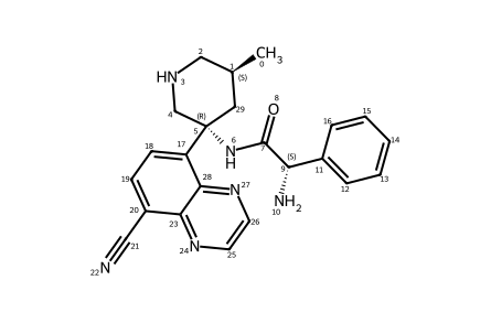 C[C@@H]1CNC[C@](NC(=O)[C@@H](N)c2ccccc2)(c2ccc(C#N)c3nccnc23)C1